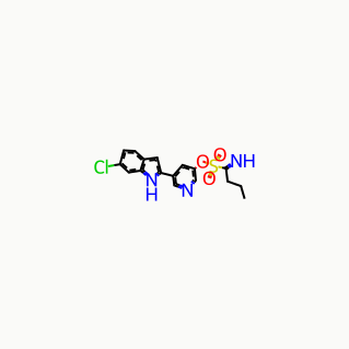 CCCC(=N)S(=O)(=O)Oc1cncc(-c2cc3ccc(Cl)cc3[nH]2)c1